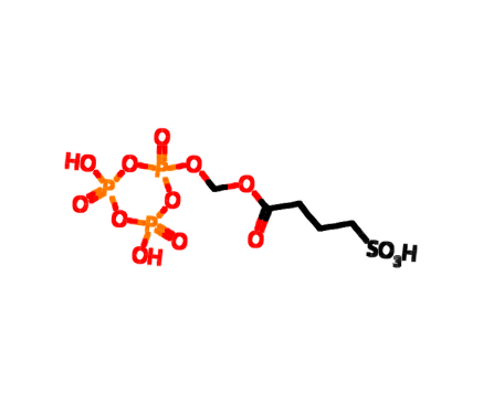 O=C(CCCS(=O)(=O)O)OCOP1(=O)OP(=O)(O)OP(=O)(O)O1